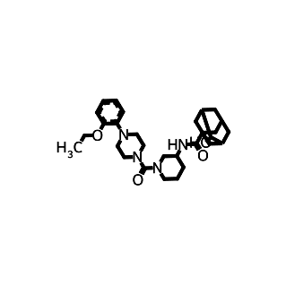 CCOc1ccccc1N1CCN(C(=O)N2CCCC(NC(=O)C34CC5CC(C3)C(O)C(C5)C4)C2)CC1